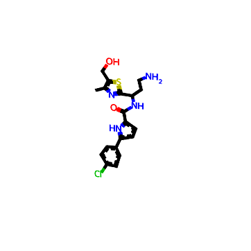 Cc1nc(C(CCN)NC(=O)c2ccc(-c3ccc(Cl)cc3)[nH]2)sc1CO